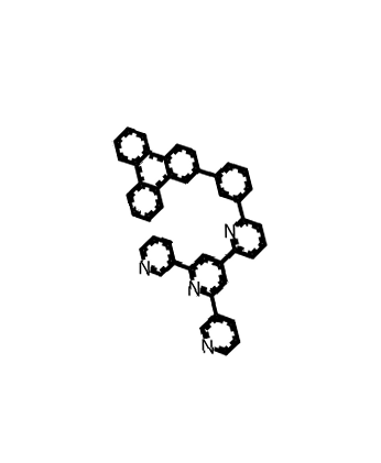 c1cncc(-c2cc(-c3cccc(-c4cccc(-c5ccc6c7ccccc7c7ccccc7c6c5)c4)n3)cc(-c3cccnc3)n2)c1